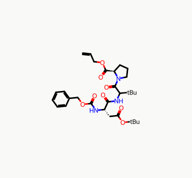 C=CCOC(=O)[C@H]1CCCN1C(=O)C(NC(=O)[C@H](CC(=O)OC(C)(C)C)NC(=O)OCc1ccccc1)C(C)(C)C